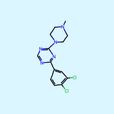 CN1CCN(c2ncnc(-c3ccc(Cl)c(Cl)c3)n2)CC1